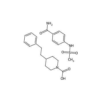 CS(=O)(=O)Nc1ccc(C(N)=O)cc1.O=C(O)N1CCC(CCc2ccccc2)CC1